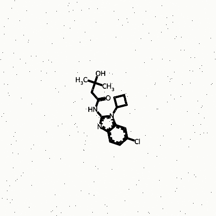 CC(C)(O)CC(=O)Nc1nc2ccc(Cl)cc2n1C1CCC1